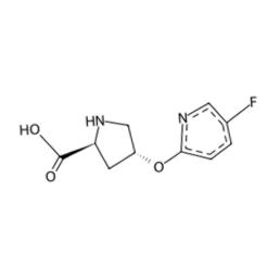 O=C(O)[C@@H]1C[C@@H](Oc2ccc(F)cn2)CN1